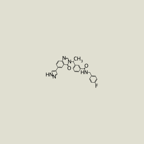 CC(c1cccc(C(=O)NCc2ccc(F)cc2)c1)n1cnc2ccc(-c3cn[nH]c3)cc2c1=O